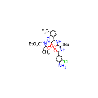 C=CC(=O)N(CC(=O)OCC)NC(=O)C(NC(=O)[C@@H](NC(=O)c1ccc(N)c(Cl)c1)C(C)(C)C)c1cccc(C(F)(F)F)c1